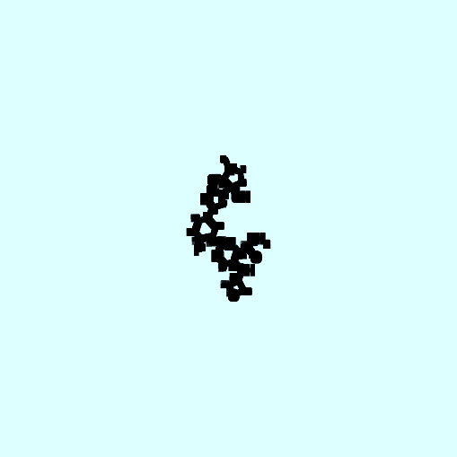 CN1CCC(O)(c2cc(-c3ccc(F)c(-c4ncc(NC5COC5)c(C(N)=O)n4)c3)no2)C1=O